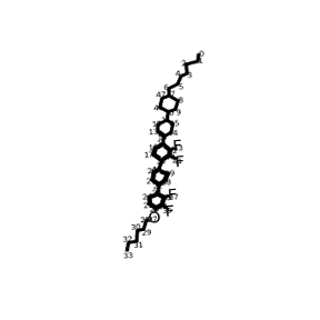 CCCCCCCC1CCC(C2CC=C(c3ccc(-c4ccc(-c5ccc(OCCCCCC)c(F)c5F)cc4)c(F)c3F)CC2)CC1